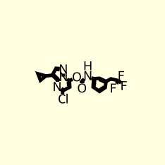 O=C(Nc1cccc(CC(F)(F)F)c1)Oc1cc(Cl)nc2c(C3CC3)cnn12